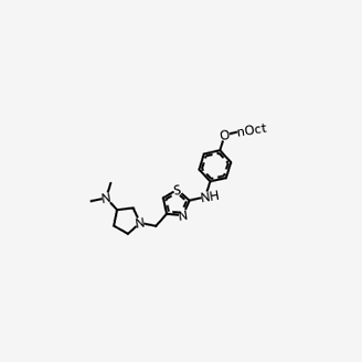 CCCCCCCCOc1ccc(Nc2nc(CN3CCC(N(C)C)C3)cs2)cc1